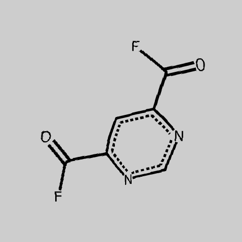 O=C(F)c1cc(C(=O)F)ncn1